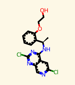 C[C@@H](Nc1nc(Cl)nc2cnc(Cl)cc12)c1ccccc1OCCO